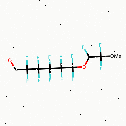 COC(F)(F)C(F)OC(F)(F)C(F)(F)C(F)(F)C(F)(F)C(F)(F)CO